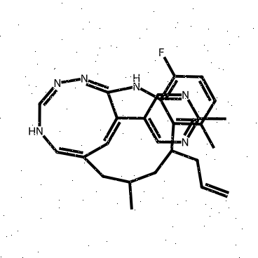 C=CCC1CC(C)Cc2c[nH]cnnc(c(-c3cnc(C)nc3)c2)Nc2c(F)ccc(C)c21